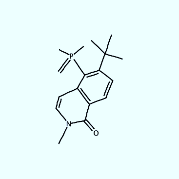 C=P(C)(C)c1c(C(C)(C)C)ccc2c(=O)n(C)ccc12